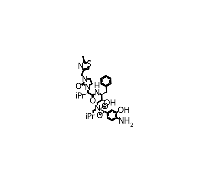 Cc1nc(CN2CCN([C@H](C(=O)N[C@@H](Cc3ccccc3)[C@H](O)CN(CC(C)C)S(=O)(=O)c3ccc(N)c(O)c3)C(C)C)C2=O)cs1